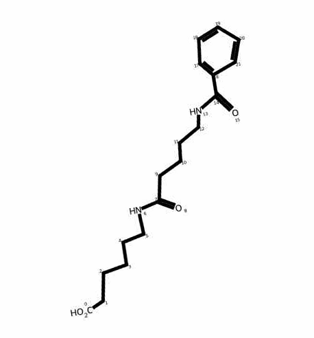 O=C(O)CCCCCNC(=O)CCCCNC(=O)c1ccccc1